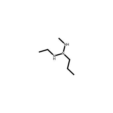 CCCN(NC)NCC